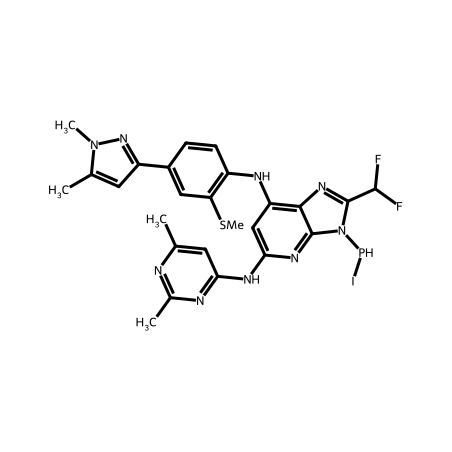 CSc1cc(-c2cc(C)n(C)n2)ccc1Nc1cc(Nc2cc(C)nc(C)n2)nc2c1nc(C(F)F)n2PI